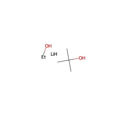 CC(C)(C)O.CCO.[LiH]